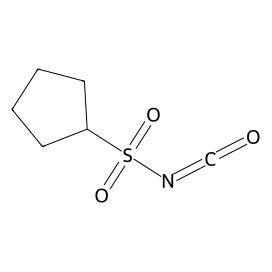 O=C=NS(=O)(=O)C1CCCC1